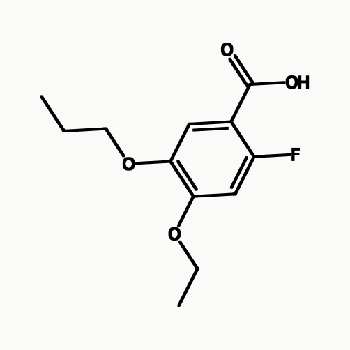 CCCOc1cc(C(=O)O)c(F)cc1OCC